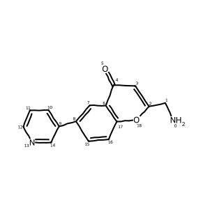 NCc1cc(=O)c2cc(-c3cccnc3)ccc2o1